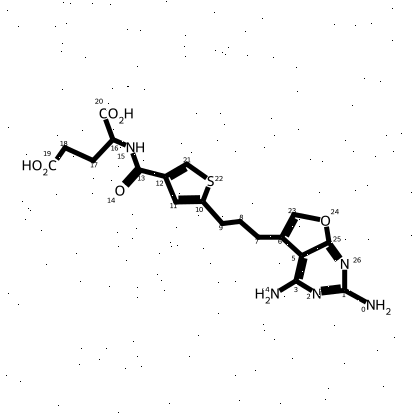 Nc1nc(N)c2c(CCCc3cc(C(=O)NC(CCC(=O)O)C(=O)O)cs3)coc2n1